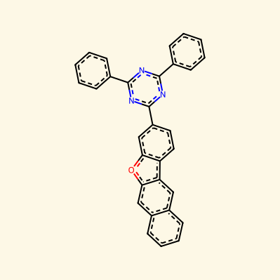 c1ccc(-c2nc(-c3ccccc3)nc(-c3ccc4c(c3)oc3cc5ccccc5cc34)n2)cc1